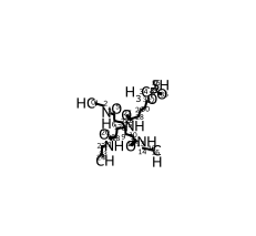 C#CCNC(=O)CCC(CCC(=O)NCC#C)(CCC(=O)NCC#C)NC(=O)CCCCOP(C)(=O)S